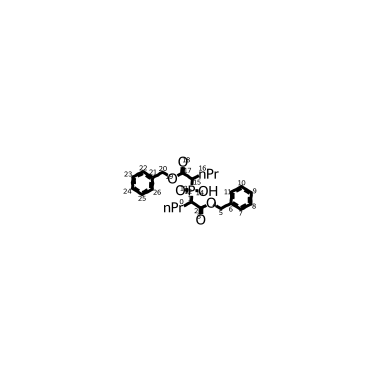 CCCC(C(=O)OCc1ccccc1)P(=O)(O)C(CCC)C(=O)OCc1ccccc1